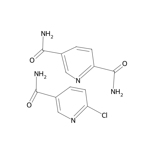 NC(=O)c1ccc(C(N)=O)nc1.NC(=O)c1ccc(Cl)nc1